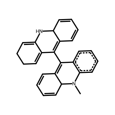 CN1c2ccccc2C(C2=C3C=CC=CC3NC3=CCCC=C32)=C2C=CC=CC21